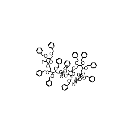 [N-]=[N+]=NOP(=O)(OCc1ccccc1)OCC(OCc1ccccc1)C(OCc1ccccc1)C(CO[C@@H]1O[C@H](COCc2ccccc2)C(OP(=O)(OCc2ccccc2)OCC(OCc2ccccc2)C(OCc2ccccc2)C(CO[C@@H]2O[C@H](COCc3ccccc3)C(OCc3ccccc3)C2F)OCc2ccccc2)C1F)OCc1ccccc1